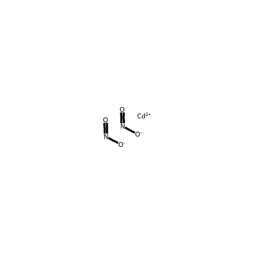 O=N[O-].O=N[O-].[Cd+2]